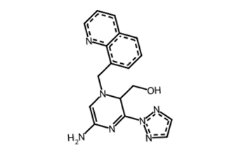 NC1=CN(Cc2cccc3cccnc23)C(CO)C(n2nccn2)=N1